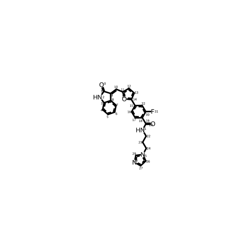 O=C1Nc2ccccc2/C1=C\c1ccc(-c2ccc(C(=O)NCCCn3ccnc3)c(F)c2)o1